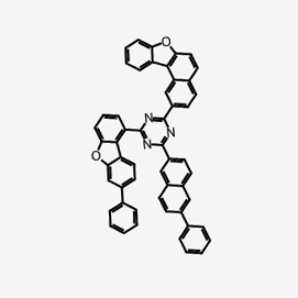 c1ccc(-c2ccc3cc(-c4nc(-c5ccc6ccc7oc8ccccc8c7c6c5)nc(-c5cccc6oc7cc(-c8ccccc8)ccc7c56)n4)ccc3c2)cc1